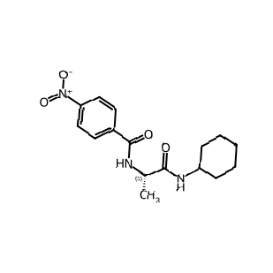 C[C@H](NC(=O)c1ccc([N+](=O)[O-])cc1)C(=O)NC1CCCCC1